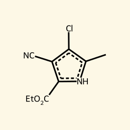 CCOC(=O)c1[nH]c(C)c(Cl)c1C#N